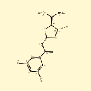 CNC(C(=O)O)[C@@H]1OC(O[C@@H](C)c2cc(Cl)cc(Cl)c2)C[C@H]1C